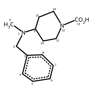 CN(Cc1ccccc1)C1CCN(C(=O)O)CC1